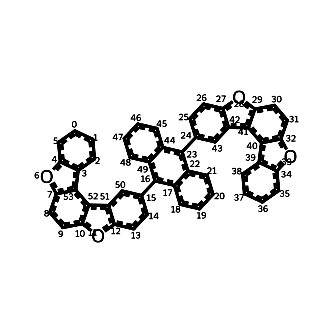 c1ccc2c(c1)oc1ccc3oc4ccc(-c5c6ccccc6c(-c6ccc7oc8ccc9oc%10ccccc%10c9c8c7c6)c6ccccc56)cc4c3c12